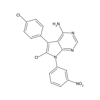 Nc1ncnc2c1c(-c1ccc(Cl)cc1)c(Cl)n2-c1cccc([N+](=O)[O-])c1